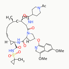 COc1ccc2c(O[C@@H]3C[C@H]4C(=O)N[C@]5(C(=O)NS(=O)(=O)C6(C)CC6)C[C@H]5C=CCC[C@@H](C)C[C@@H](C)[C@H](NC(=O)C5CCN(C(C)=O)CC5)C(=O)N4C3)ncc(OC)c2c1